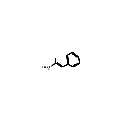 CCOC(=O)C(F)=Cc1ccccc1